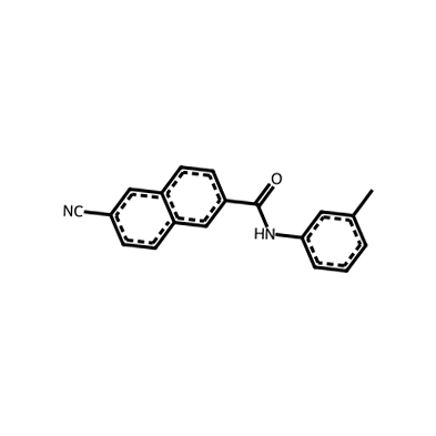 Cc1cccc(NC(=O)c2ccc3cc(C#N)ccc3c2)c1